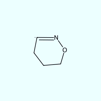 [C]1=NOCCC1